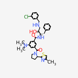 Cc1csc(C2CCCN2C(=O)c2cc(C(=O)N[C@@H](Cc3ccccc3)[C@H](O)CNCc3cccc(Cl)c3)cc(N(C)C)c2)n1